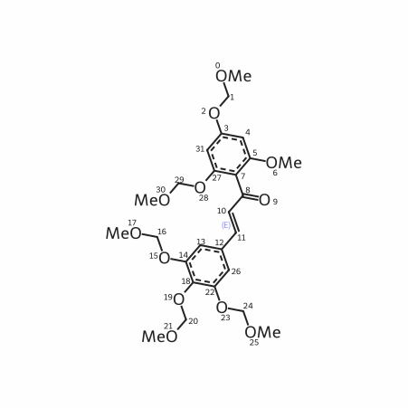 COCOc1cc(OC)c(C(=O)/C=C/c2cc(OCOC)c(OCOC)c(OCOC)c2)c(OCOC)c1